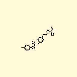 C=C(C)C(=O)OCCc1ccc(CC(=O)Oc2ccc(C)cc2)cc1